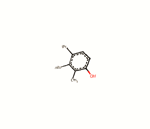 CCCCc1c(C(C)C)ccc(O)c1C